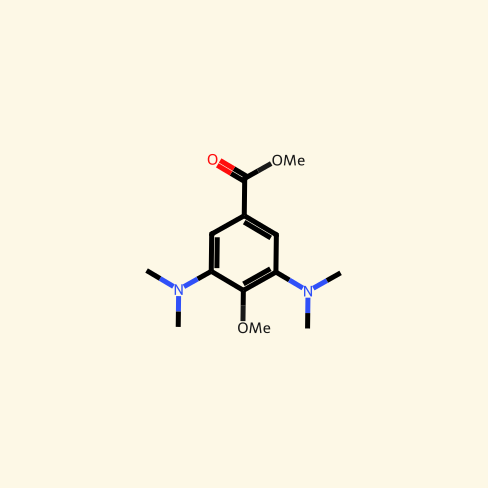 COC(=O)c1cc(N(C)C)c(OC)c(N(C)C)c1